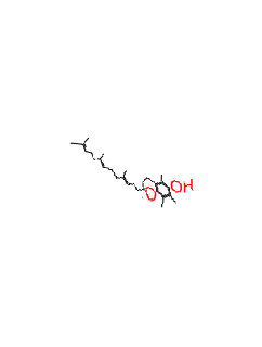 CC(C)=CCC/C(C)=C/CC/C(C)=C/CC[C@@]1(C)CCc2c(C)c(O)c(C)c(C)c2O1